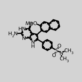 COc1cc2ccccc2cc1-c1c(-c2ccc(S(=O)(=O)N(C)C)cc2)[nH]c2nc(N)[nH]c(=O)c12